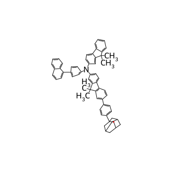 CC1(C)c2ccccc2-c2ccc(N(c3ccc(-c4cccc5ccccc45)cc3)c3ccc4c(c3)C(C)(C)c3cc(-c5ccc(C67CC8CC(CC(C8)C6)C7)cc5)ccc3-4)cc21